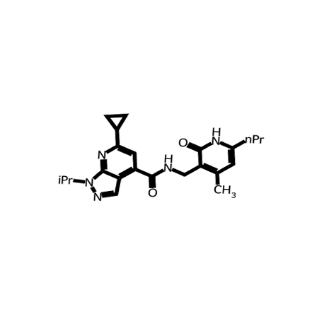 CCCc1cc(C)c(CNC(=O)c2cc(C3CC3)nc3c2cnn3C(C)C)c(=O)[nH]1